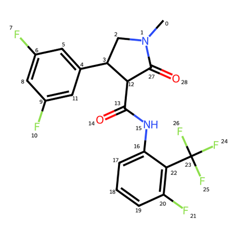 CN1CC(c2cc(F)cc(F)c2)C(C(=O)Nc2cccc(F)c2C(F)(F)F)C1=O